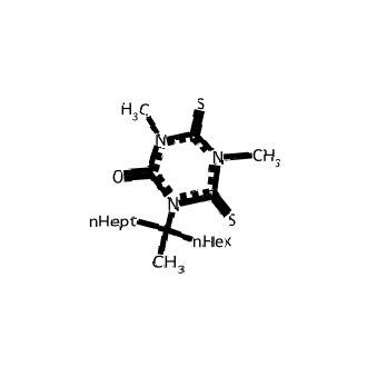 CCCCCCCC(C)(CCCCCC)n1c(=O)n(C)c(=S)n(C)c1=S